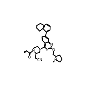 C=CC(=O)N1CCN(c2nc(OCC3CCCN3C)nc3cc(-c4cccc5c4CCCC5)ccc23)CC1CC#N